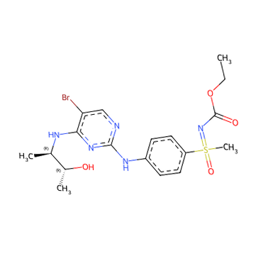 CCOC(=O)N=S(C)(=O)c1ccc(Nc2ncc(Br)c(N[C@H](C)[C@@H](C)O)n2)cc1